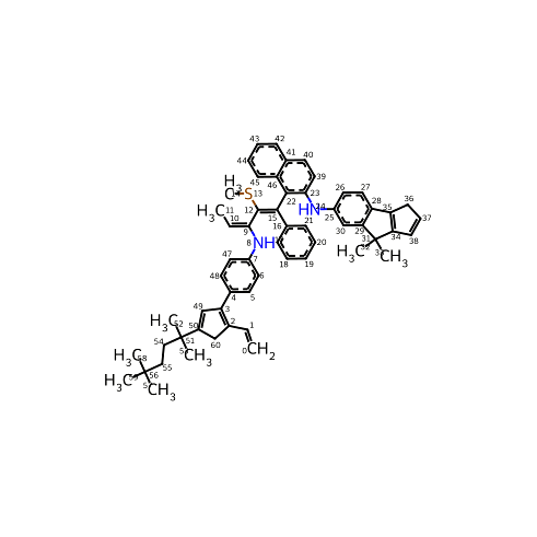 C=CC1=C(c2ccc(NC(=C/C)/C(SC)=C(\c3ccccc3)c3c(Nc4ccc5c(c4)C(C)(C)C4=C5CC=C4)ccc4ccccc34)cc2)C=C(C(C)(C)CCC(C)(C)C)C1